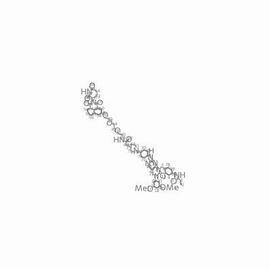 C=CC(=O)Nc1ccc(CN2C(=O)N(c3cc(OC)cc(OC)c3)Cc3cnc(Nc4ccc(N5CCN(CC(=O)NCCOCCOCCOc6cc7c8c(cccc8c6)C(=O)N(C6CCC(=O)NC6=O)C7=O)CC5)cc4)nc32)cc1